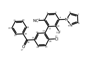 N#Cc1ccc(-n2cccn2)c(F)c1-c1cc(C(=O)c2ccccc2)ccc1Cl